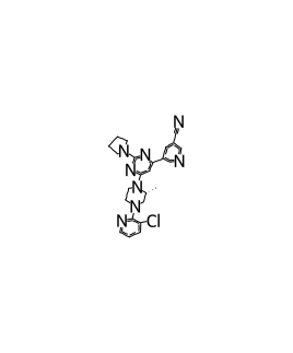 C[C@@H]1CN(c2ncccc2Cl)CCN1c1cc(-c2cncc(C#N)c2)nc(N2CCCC2)n1